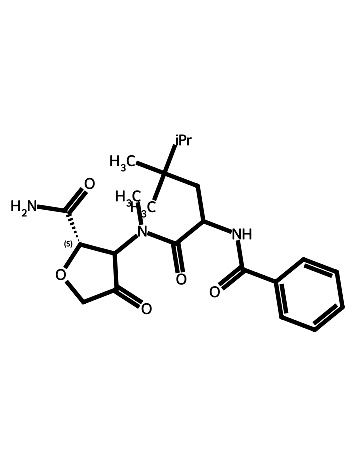 CC(C)C(C)(C)CC(NC(=O)c1ccccc1)C(=O)N(C)C1C(=O)CO[C@@H]1C(N)=O